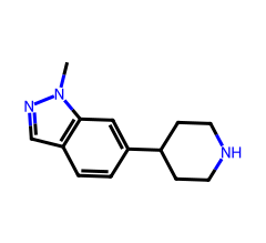 Cn1ncc2ccc(C3CCNCC3)cc21